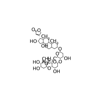 C[C@H]1O[C@@H](O[C@H]2[C@@H](O)CC(O[C@H]3[C@@H](O)C[C@H](O[C@H]4CC[C@@]5(C)C(CCC6C5CC[C@]5(C)[C@@H](C7=CC(=O)OC7)[C@@H](O)C[C@]65O)C4)O[C@@H]3C)O[C@@H]2C)C[C@H](O)[C@@H]1O